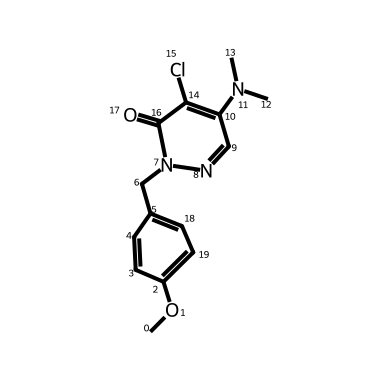 COc1ccc(Cn2ncc(N(C)C)c(Cl)c2=O)cc1